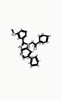 COc1cccc(-c2nc3ncc(-c4ccccc4)cc3n2CC(=O)c2ccccc2)c1